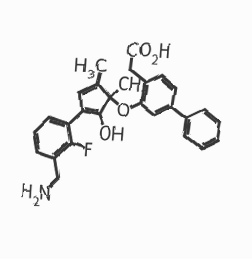 CC1=CC(c2cccc(CN)c2F)=C(O)C1(C)Oc1cc(-c2ccccc2)ccc1CC(=O)O